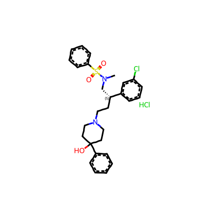 CN(C[C@@H](CCN1CCC(O)(c2ccccc2)CC1)c1cccc(Cl)c1)S(=O)(=O)c1ccccc1.Cl